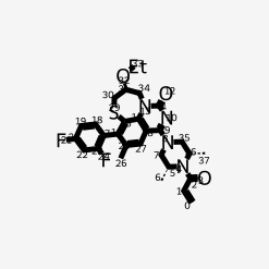 C=CC(=O)N1[C@H](C)CN(c2nc(=O)n3c4c(c(-c5ccc(F)cc5F)c(C)cc24)SC[C@@H](OCC)C3)C[C@@H]1C